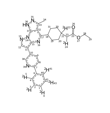 [2H]c1c([2H])c([2H])c(-c2ccc(-c3cnn4c3nc(C3CCC([2H])(C([2H])C(=O)OCC)CC3)c3c(C)n[nH]c34)cn2)c([2H])c1[2H]